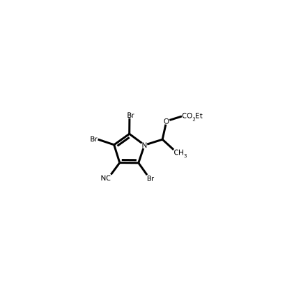 CCOC(=O)OC(C)n1c(Br)c(Br)c(C#N)c1Br